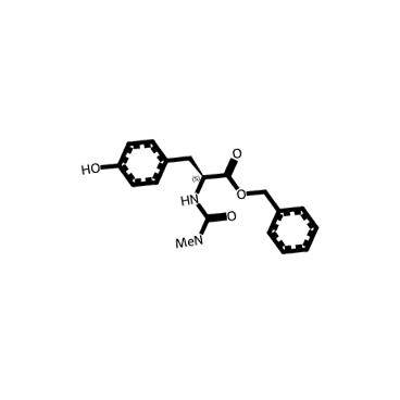 CNC(=O)N[C@@H](Cc1ccc(O)cc1)C(=O)OCc1ccccc1